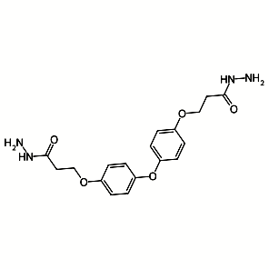 NNC(=O)CCOc1ccc(Oc2ccc(OCCC(=O)NN)cc2)cc1